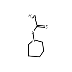 NC(=S)SN1CCCCC1